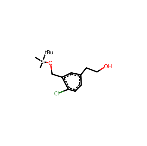 CC(C)(C)[Si](C)(C)OCc1cc(CCO)ccc1Cl